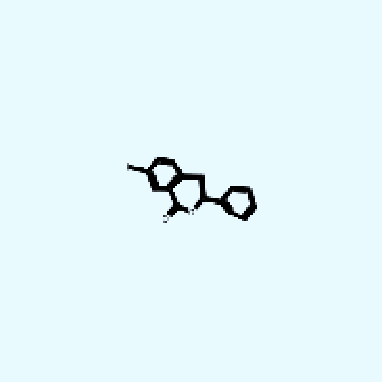 O=C1OC(c2ccccc2)Cc2ccc(I)cc21